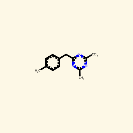 Cc1ccc(Cc2nc(C)nc(C(Cl)(Cl)Cl)n2)cc1